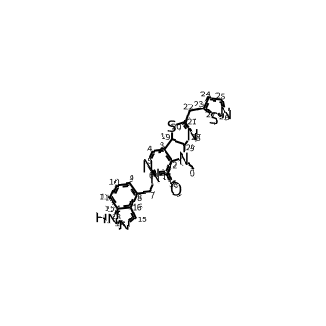 CN1c2c(cnn(Cc3cccc4[nH]ncc34)c2=O)C2SC(Cc3ccns3)=NC21